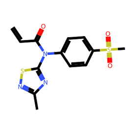 C=CC(=O)N(c1ccc(S(C)(=O)=O)cc1)c1nc(C)ns1